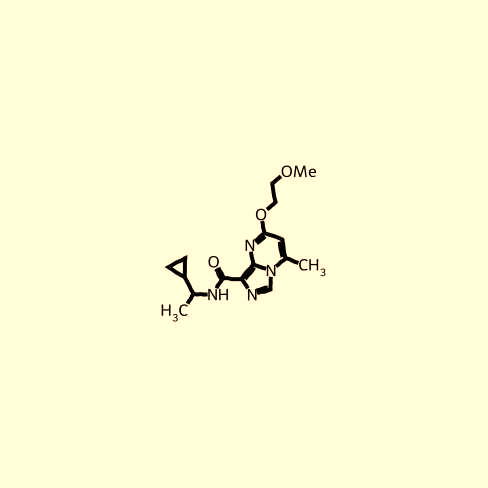 COCCOc1cc(C)n2cnc(C(=O)NC(C)C3CC3)c2n1